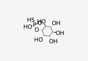 O=P(O)(S)O[C@@H]1[C@@H](O)[C@H](O)[C@@H](O)[C@H](O)[C@@H]1O